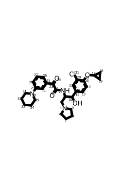 O=C(NC(CN1CCCC1)C(O)c1ccc(OC2CC2)c(Cl)c1)C(=O)c1cccc(N2CCCCC2)c1